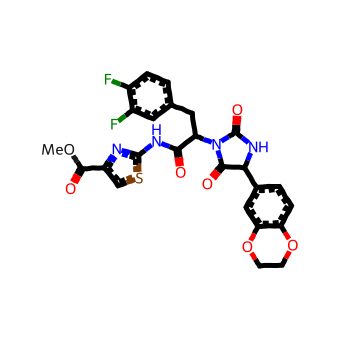 COC(=O)c1csc(NC(=O)C(Cc2ccc(F)c(F)c2)N2C(=O)NC(c3ccc4c(c3)OCCO4)C2=O)n1